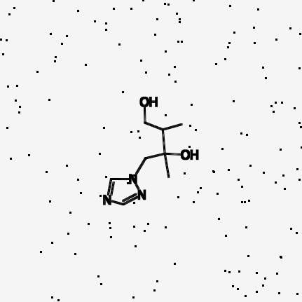 CC(CO)C(C)(O)Cn1cncn1